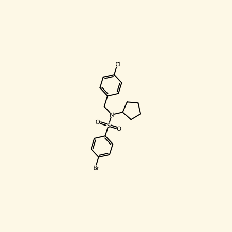 O=S(=O)(c1ccc(Br)cc1)N(Cc1ccc(Cl)cc1)C1CCCC1